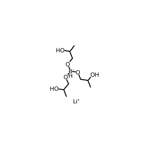 CC(O)CO[BH-](OCC(C)O)OCC(C)O.[Li+]